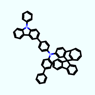 C1=CC2=CC(C=C1)c1ccc(N(c3ccc(-c4ccccc4)cc3)c3ccc(-c4ccc5c(c4)c4ccccc4n5-c4ccccc4)cc3)cc1C21c2ccccc2-c2ccccc21